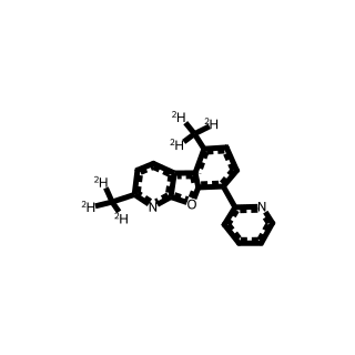 [2H]C([2H])([2H])c1ccc2c(n1)oc1c(-c3ccccn3)ccc(C([2H])([2H])[2H])c12